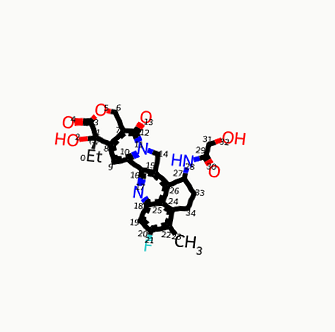 CC[C@@]1(O)C(=O)OCc2c1cc1n(c2=O)Cc2c-1nc1cc(F)c(C)c3c1c2C(NC(=O)CO)CC3